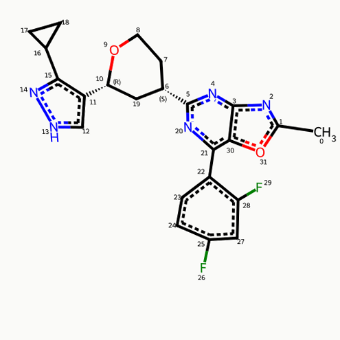 Cc1nc2nc([C@H]3CCO[C@@H](c4c[nH]nc4C4CC4)C3)nc(-c3ccc(F)cc3F)c2o1